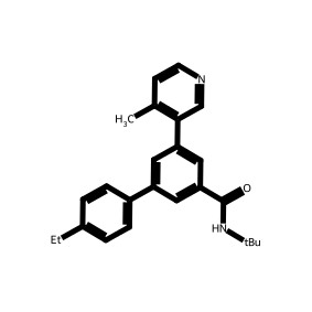 CCc1ccc(-c2cc(C(=O)NC(C)(C)C)cc(-c3cnccc3C)c2)cc1